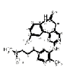 Cc1ncc(CCCN(C)C)cc1Nc1ncc2c(n1)-c1cc(C(F)(F)F)ccc1NC(=S)C2